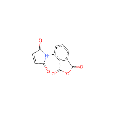 O=C1OC(=O)c2c1cccc2N1C(=O)C=CC1=O